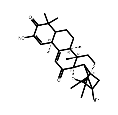 CCCC12C[C@@]34CC[C@@]5(C)[C@]6(C)CCC7C(C)(C)C(=O)C(C#N)=C[C@]7(C)C6=CC(=O)[C@]5(OC13)C4CC2(C)C